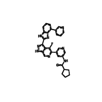 O=C(Nc1cncc(-c2ncc3[nH]nc(-c4nc5c(-c6cccnc6)cccc5[nH]4)c3c2F)c1)C1CCCC1